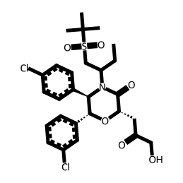 CCC(CS(=O)(=O)C(C)(C)C)N1C(=O)[C@H](CC(=O)CO)O[C@H](c2cccc(Cl)c2)[C@H]1c1ccc(Cl)cc1